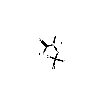 CN(SC(Cl)(Cl)Cl)C(=O)O.F